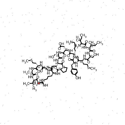 CC[C@H](C)[C@H](N)C(=O)N[C@H](C(=O)N[C@@H](CO)C(=O)N[C@@H](CCSC)C(=O)N[C@@H](Cc1ccc(O)cc1)C(=O)N[C@@H](CCCCN)C(=O)N[C@@H](CC(=O)O)C(=O)N[C@@H](CO)C(=O)N[C@@H](CCC(N)=O)C(=O)N1CCC[C@H]1C(=O)N[C@@H](CCCNC(=N)N)C(=O)NCC(=O)N[C@@H](CCSC)C(=O)N[C@@H](C)C(=O)N[C@H](C(=O)O)C(C)C)[C@@H](C)CC